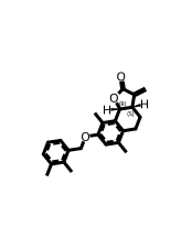 C=C1C(=O)O[C@H]2c3c(C)c(OCc4cccc(C)c4C)cc(C)c3CC[C@@H]12